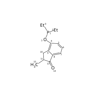 CCP(CC)Oc1cccc2c1CC(C)C2=O